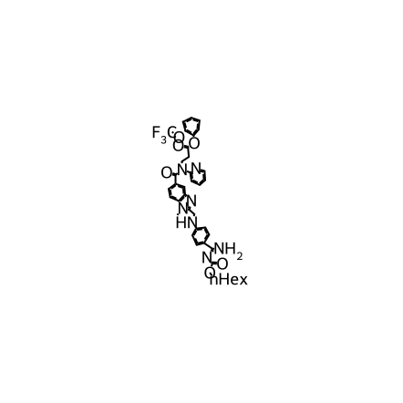 CCCCCCOC(=O)/N=C(\N)c1ccc(NCc2nc3cc(C(=O)N(CCC(=O)Oc4ccccc4OC(F)(F)F)c4ccccn4)ccc3n2C)cc1